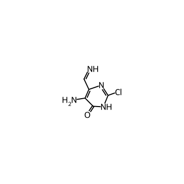 N=Cc1nc(Cl)[nH]c(=O)c1N